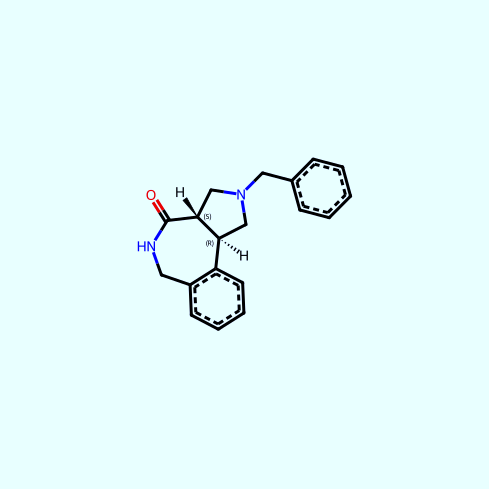 O=C1NCc2ccccc2[C@@H]2CN(Cc3ccccc3)C[C@@H]12